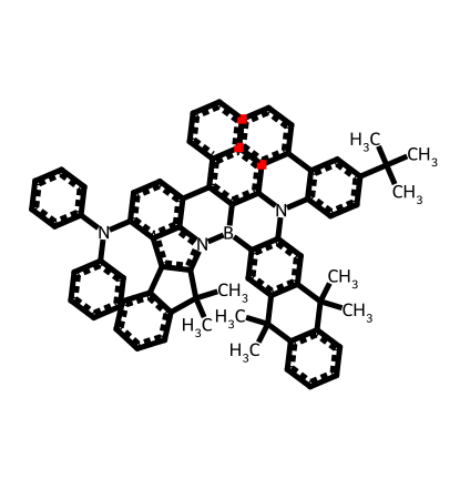 CC(C)(C)c1ccc(N2c3cc4c(cc3B3c5c2cc2ccccc2c5-c2ccc(N(c5ccccc5)c5ccccc5)c5c6c(n3c25)C(C)(C)c2ccccc2-6)C(C)(C)c2ccccc2C4(C)C)c(-c2ccccc2)c1